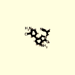 C=C(C#N)CN1Cc2c(-c3ccc(N)c(Cl)c3)ccc(N)c2C1=O